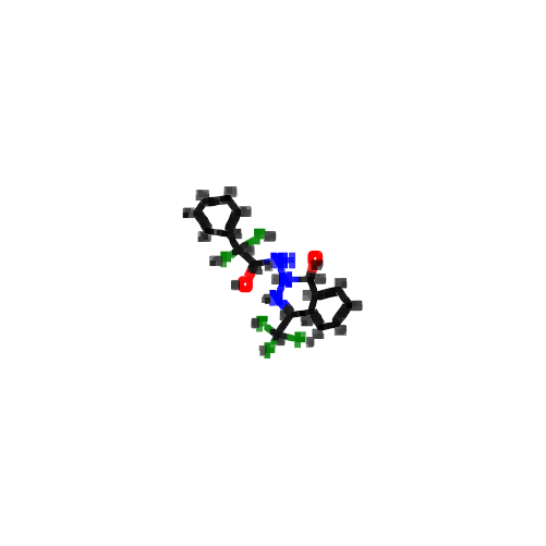 O=C(Nn1nc(C(F)(F)F)c2ccccc2c1=O)C(F)(F)c1ccccc1